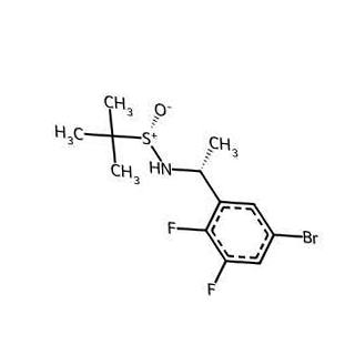 C[C@@H](N[S@@+]([O-])C(C)(C)C)c1cc(Br)cc(F)c1F